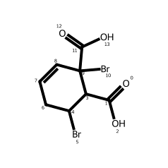 O=C(O)C1C(Br)CC=CC1(Br)C(=O)O